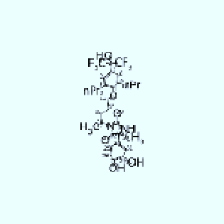 CCCc1cc(C(O)(C(F)(F)F)C(F)(F)F)cc(CCC)c1OCCCC(C)N1C(=O)NC(C)(c2ccc(O)c(O)c2)C1=O